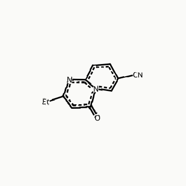 CCc1cc(=O)n2cc(C#N)ccc2n1